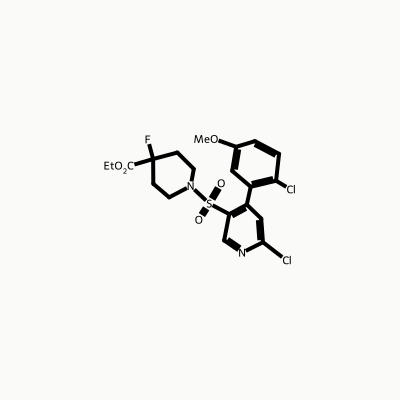 CCOC(=O)C1(F)CCN(S(=O)(=O)c2cnc(Cl)cc2-c2cc(OC)ccc2Cl)CC1